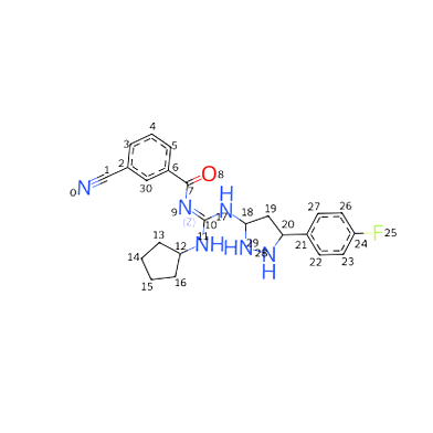 N#Cc1cccc(C(=O)/N=C(/NC2CCCC2)NC2CC(c3ccc(F)cc3)NN2)c1